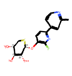 Cc1cc(-c2ccc(O[C@H]3SC[C@@H](O)[C@H](O)[C@H]3O)c(F)n2)ccn1